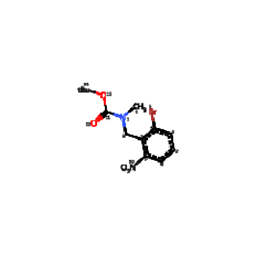 CN(Cc1c(Br)cccc1[N+](=O)[O-])C(=O)OC(C)(C)C